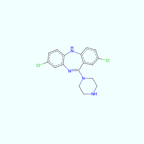 Clc1ccc2c(c1)N=C(N1CCNCC1)c1cc(Cl)ccc1N2